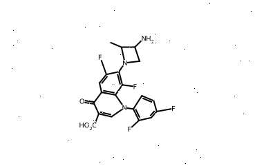 CC1C(N)CN1c1c(F)cc2c(=O)c(C(=O)O)cn(-c3ccc(F)cc3F)c2c1F